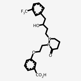 O=C(O)c1cccc(OCCN2C(=O)CCCN2CCC(O)Cc2cccc(C(F)(F)F)c2)c1